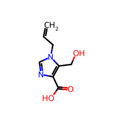 C=CCn1cnc(C(=O)O)c1CO